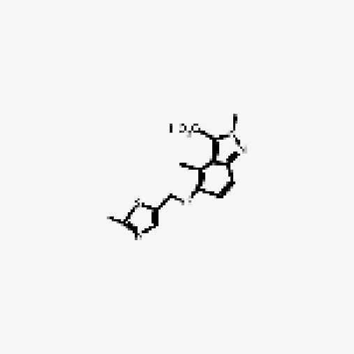 Cc1ncc(COc2ccc3nn(C)c(C(=O)O)c3c2C)s1